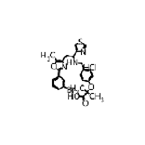 Cc1oc(-c2cccc(Br)c2)nc1CC(NCc1ccc(OC(C)(C)C(=O)O)cc1)c1cscn1.Cl